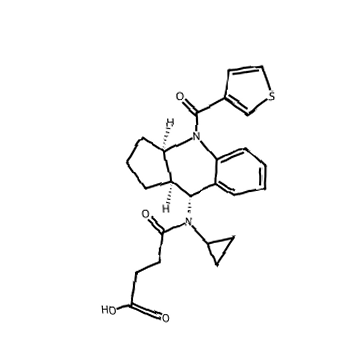 O=C(O)CCC(=O)N(C1CC1)[C@H]1c2ccccc2N(C(=O)c2ccsc2)[C@@H]2CCC[C@@H]21